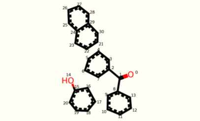 O=C(c1ccccc1)c1ccccc1.Oc1ccccc1.c1ccc2ccccc2c1